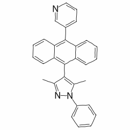 Cc1nn(-c2ccccc2)c(C)c1-c1c2ccccc2c(-c2cccnc2)c2ccccc12